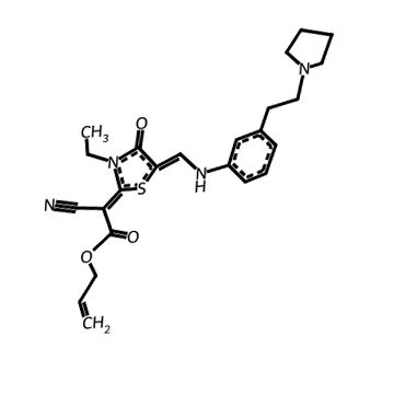 C=CCOC(=O)C(C#N)=c1sc(=CNc2cccc(CCN3CCCC3)c2)c(=O)n1CC